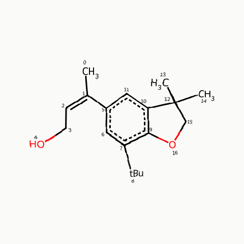 C/C(=C/CO)c1cc(C(C)(C)C)c2c(c1)C(C)(C)CO2